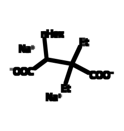 CCCCCCC(C(=O)[O-])C(CC)(CC)C(=O)[O-].[Na+].[Na+]